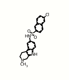 CN1CCc2c([nH]c3ccc(NS(=O)(=O)c4ccc5cc(Cl)ccc5c4)cc23)C1